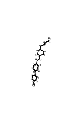 FC/C=C/CC1CCC(CCc2ccc(-c3ccc(Cl)cc3)cc2)CC1